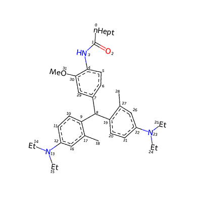 CCCCCCCC(=O)Nc1ccc(C(c2ccc(N(CC)CC)cc2C)c2ccc(N(CC)CC)cc2C)cc1OC